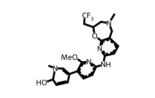 COc1nc(Nc2ccc3c(n2)OC(CC(F)(F)F)CN(C)C3)ccc1C1=CN(C)C(O)C=C1